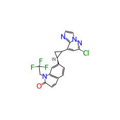 O=c1ccc2ccc([C@H]3CC3c3cc(Cl)nn4ccnc34)cc2n1CC(F)(F)F